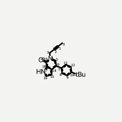 CC#CCn1cc(-c2ccc(C(C)(C)C)cc2)c2cc[nH]c2c1=O